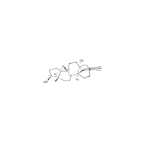 CC#C[C@]12CCC(=O)C[C@]1(O)CC[C@H]1[C@@H]3CC[C@H](O)[C@@]3(C)CC[C@@H]12